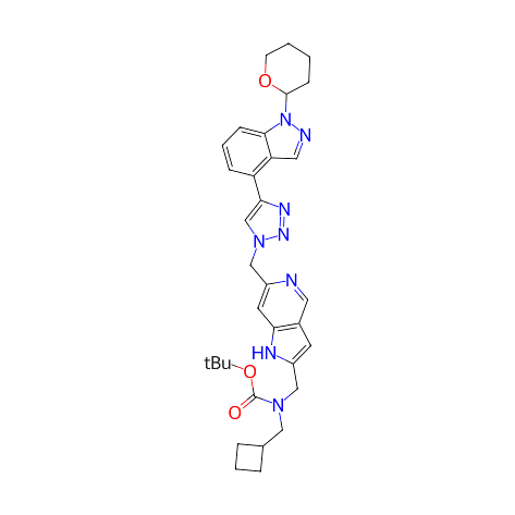 CC(C)(C)OC(=O)N(Cc1cc2cnc(Cn3cc(-c4cccc5c4cnn5C4CCCCO4)nn3)cc2[nH]1)CC1CCC1